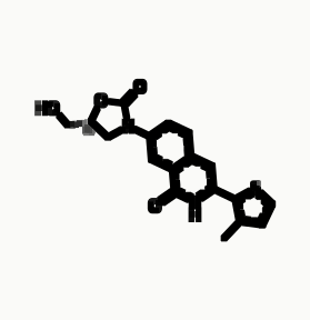 Cc1ccsc1-c1cc2ccc(N3C[C@H](CO)OC3=O)cc2c(=O)[nH]1